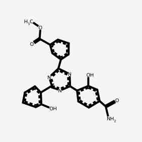 COC(=O)c1cccc(-c2nc(-c3ccccc3O)nc(-c3ccc(C(N)=O)cc3O)n2)c1